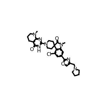 CN1CCCc2c1nc(N1CCC3(CC1)C(=O)N(C)c1cc(-c4nc(CN5CCCC5)co4)cc(Cl)c13)[nH]c2=O